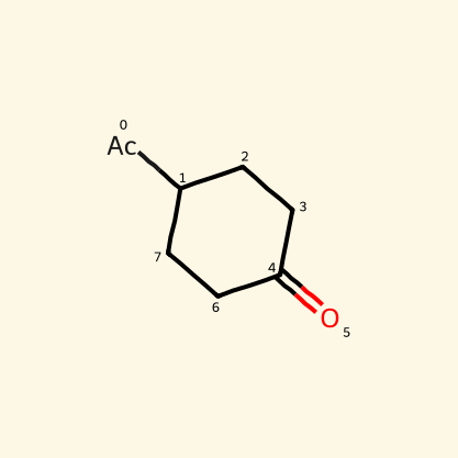 CC(=O)C1CCC(=O)CC1